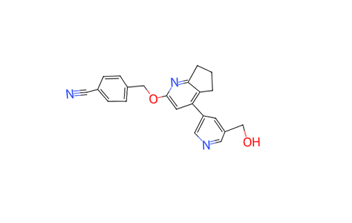 N#Cc1ccc(COc2cc(-c3cncc(CO)c3)c3c(n2)CCC3)cc1